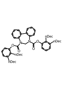 CCCCCCCCCCc1cccc(OC(=O)N2CN(C(=O)Oc3cccc(CCCCCCCCCC)c3CCCCCCCCCC)c3ccccc3-c3ccccc32)c1CCCCCCCCCC